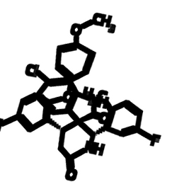 COc1ccc(Oc2ccc(Cl)cc2[C@H]2CC(=O)N[C@@H](c3cc(F)ccc3C)[C@]23C(=O)Nc2cc(Cl)ccc23)cc1